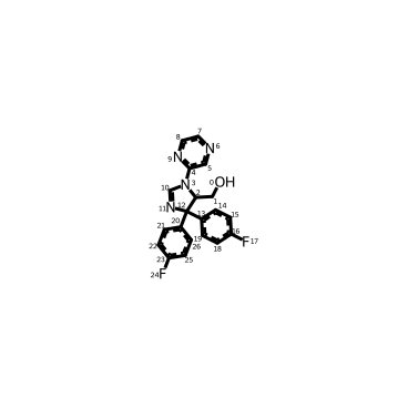 OCC1N(c2cnccn2)C=NC1(c1ccc(F)cc1)c1ccc(F)cc1